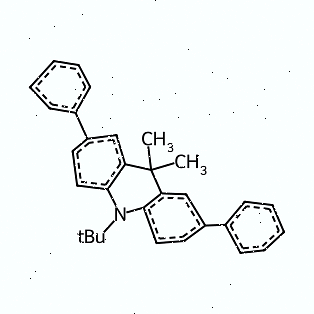 CC1(C)c2cc(-c3ccccc3)ccc2N(C(C)(C)C)c2ccc(-c3ccccc3)cc21